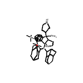 C[Si](C)(C)[C]12[CH]3[C]4(C(P)(C5CCNC5)C5CCNC5)[C]5(CP(C6C7CC8CC(C7)CC6C8)C6C7CC8CC(C7)CC6C8)[C]1([Si](C)(C)C)[Fe]35421678[CH]2[CH]1[CH]6[CH]7[CH]28